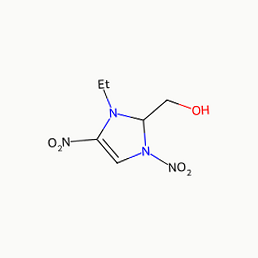 CCN1C([N+](=O)[O-])=CN([N+](=O)[O-])C1CO